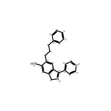 Nc1cc2c(cc1CCCc1ccccc1)C(c1ccncc1)=NC2